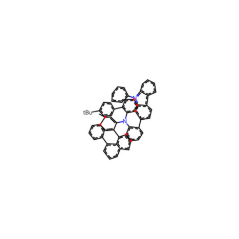 CC1C=C(N(c2ccccc2-c2ccc(C(C)(C)C)cc2)c2ccccc2-c2ccc3c4ccccc4n(-c4ccccc4)c3c2)C(c2cccc3cccc(-c4ccccc4)c23)=CC1